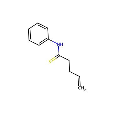 C=CCCC(=S)Nc1ccccc1